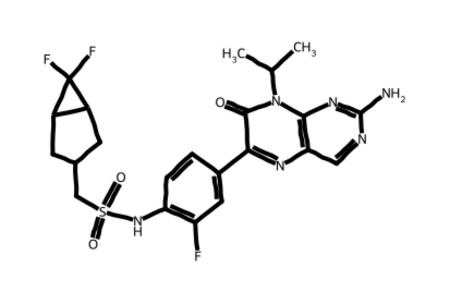 CC(C)n1c(=O)c(-c2ccc(NS(=O)(=O)CC3CC4C(C3)C4(F)F)c(F)c2)nc2cnc(N)nc21